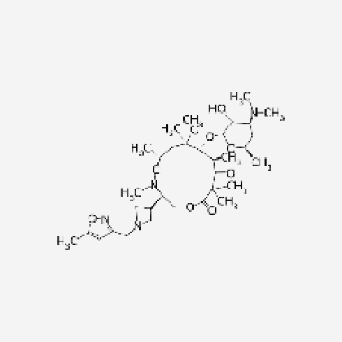 CO[C@]1(C)C[C@@H](C)CN(C)[C@H](C2CN(Cc3cc(C)on3)C2)COC(=O)C(C)(C)C(=O)[C@H](C)[C@H]1O[C@@H]1O[C@H](C)C[C@H](N(C)C)[C@H]1O